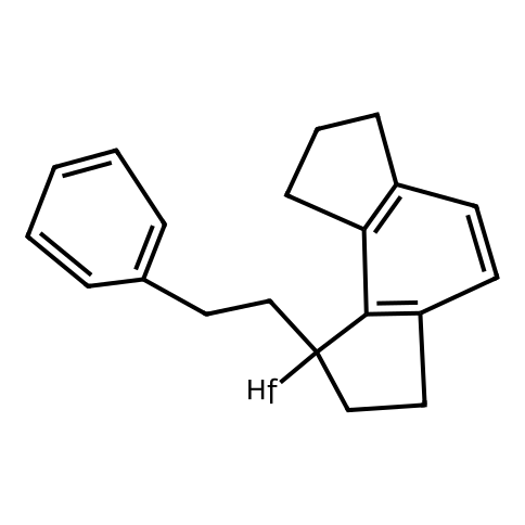 [Hf][C]1(CCc2ccccc2)CCc2ccc3c(c21)CCC3